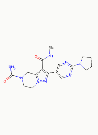 CC(C)(C)NC(=O)c1c(-c2cnc(N3CCCC3)nc2)nn2c1CN(C(N)=O)CC2